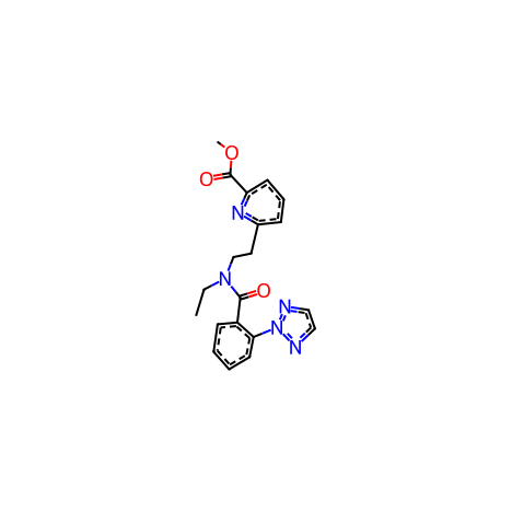 CCN(CCc1cccc(C(=O)OC)n1)C(=O)c1ccccc1-n1nccn1